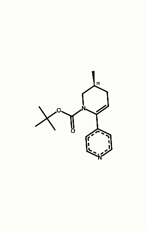 C[C@H]1CC=C(c2ccncc2)N(C(=O)OC(C)(C)C)C1